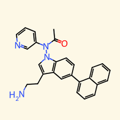 CC(=O)N(c1cccnc1)n1cc(CCN)c2cc(-c3cccc4ccccc34)ccc21